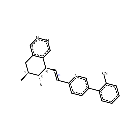 C[C@H]1[C@H](/C=C/c2ccc(-c3ccccc3C#N)cn2)c2cnncc2C[C@@H]1C